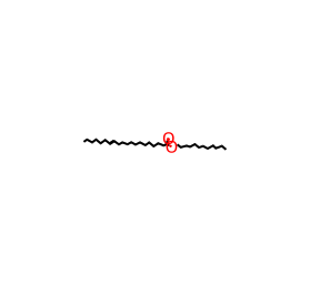 CCCCCCC=CCCCCCCCCCCCC(=O)OCCCCCCCCCCCC